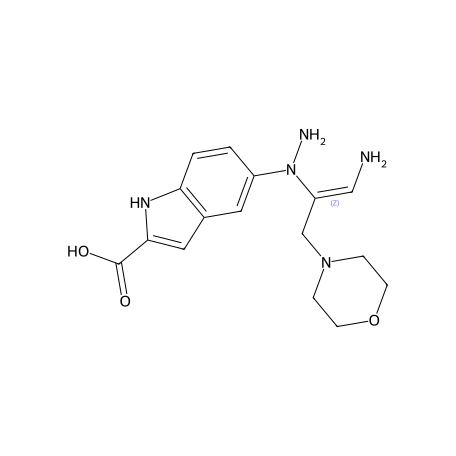 N/C=C(/CN1CCOCC1)N(N)c1ccc2[nH]c(C(=O)O)cc2c1